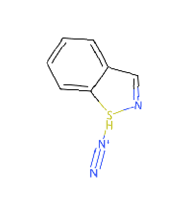 N#[N+][SH]1N=Cc2ccccc21